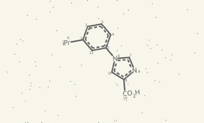 CC(C)c1cccc(-n2cnc(C(=O)O)c2)c1